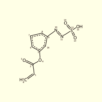 C=CC(=O)Oc1cccc(N=NS(=O)(=O)O)c1